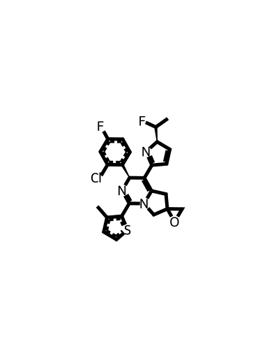 Cc1ccsc1C1=N[C@@H](c2ccc(F)cc2Cl)C(C2=N[C@@H](C(C)F)C=C2)=C2CC3(CO3)CN12